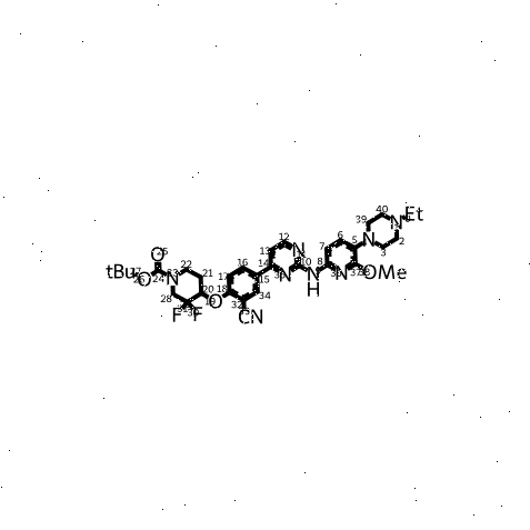 CCN1CCN(c2ccc(Nc3nccc(-c4ccc(OC5CCN(C(=O)OC(C)(C)C)CC5(F)F)c(C#N)c4)n3)nc2OC)CC1